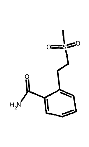 CS(=O)(=O)CCc1ccccc1C(N)=O